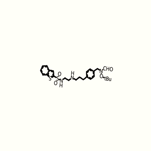 CC(C)(C)ON(C=O)Cc1ccc(CCCNCCNS(=O)(=O)c2cc3ccccc3s2)cc1